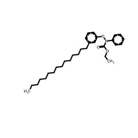 CCCCCCCCCCCCCCCc1cccc(ON(C(=O)OCC)c2cc[c]cc2)c1